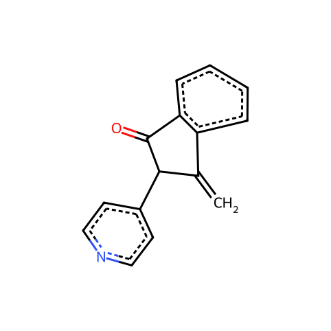 C=C1c2ccccc2C(=O)C1c1ccncc1